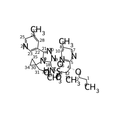 CCCO[C@@H](c1ncc(C)cn1)[C@H](C)S(=O)(=O)Nc1nnc(-c2cncc(C)c2)n1C1(COC)CC1